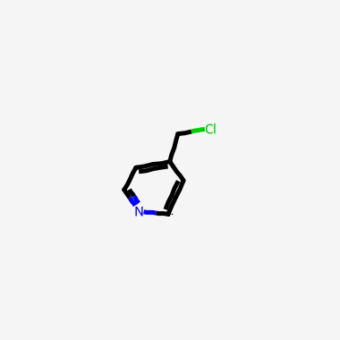 ClCc1c[c]ncc1